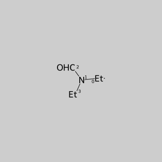 C[CH]N(C=O)CC